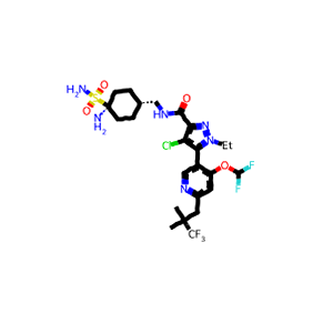 CCn1nc(C(=O)NC[C@H]2CC[C@](N)(S(N)(=O)=O)CC2)c(Cl)c1-c1cnc(CC(C)(C)C(F)(F)F)cc1OC(F)F